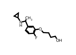 CC(NC1CC1)c1ccc(F)c(OCCCCO)c1